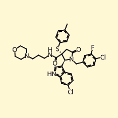 Cc1ccc(S[C@]2(C(=O)NCCCN3CCOCC3)CC(=O)N(Cc3ccc(Cl)c(F)c3)[C@H]2c2c[nH]c3cc(Cl)ccc23)cc1